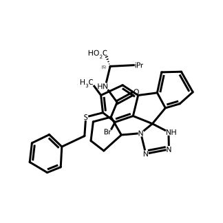 Cc1cc2c(c(Br)c1SCc1ccccc1)C1(NN=NN1C1CCCC1C(=O)N[C@H](C(=O)O)C(C)C)c1ccccc1-2